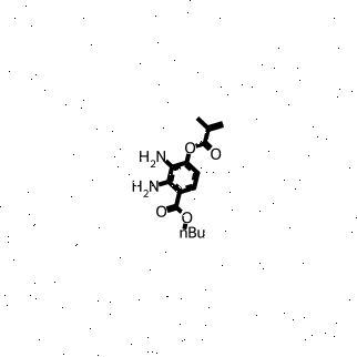 C=C(C)C(=O)Oc1ccc(C(=O)OCCCC)c(N)c1N